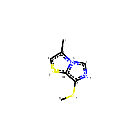 CSc1ncn2c(C)csc12